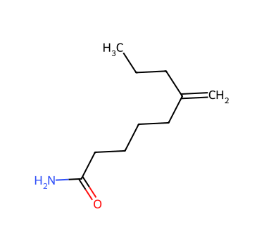 C=C(CCC)CCCCC(N)=O